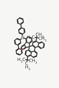 CC(C)(C)c1cc2c(c3ccccc13)-c1cccc3c(C(C)(C)C)ccc(c13)C21c2ccccc2-c2c(N(c3ccc(-c4ccccc4)cc3)c3cccc(-c4ccccc4)c3)cccc21